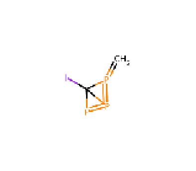 C=P1=P2=PC12I